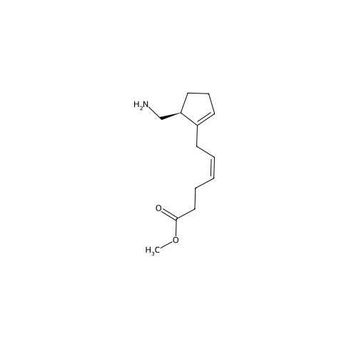 COC(=O)CC/C=C\CC1=CCC[C@@H]1CN